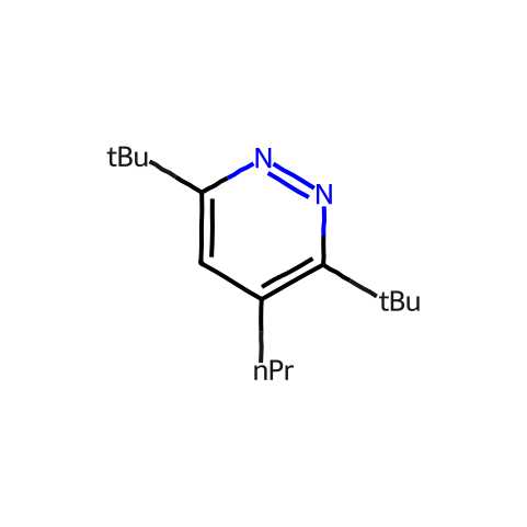 CCCc1cc(C(C)(C)C)nnc1C(C)(C)C